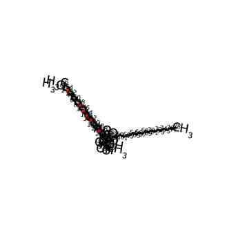 CCCCCCCCCCCCCCCCCCCCCCOC(C(=O)O)(C(C(C)=O)C(=O)O)C(CCCCCCCCCCCCCCCCCCCCCC)(CCCCCCCCCCCCCCCCCCCCCC)C(=O)O